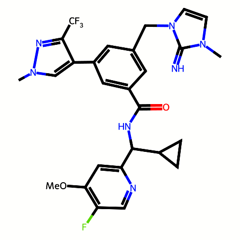 COc1cc(C(NC(=O)c2cc(Cn3ccn(C)c3=N)cc(-c3cn(C)nc3C(F)(F)F)c2)C2CC2)ncc1F